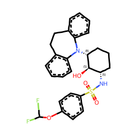 O=S(=O)(N[C@H]1CCC[C@@H](N2c3ccccc3CCc3ccccc32)[C@@H]1O)c1ccc(OC(F)F)cc1